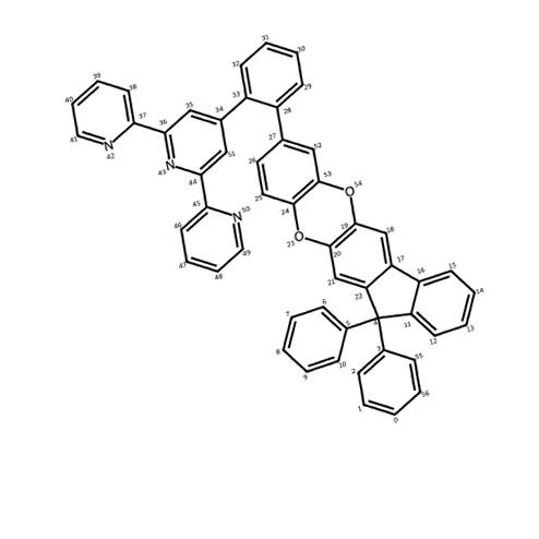 c1ccc(C2(c3ccccc3)c3ccccc3-c3cc4c(cc32)Oc2ccc(-c3ccccc3-c3cc(-c5ccccn5)nc(-c5ccccn5)c3)cc2O4)cc1